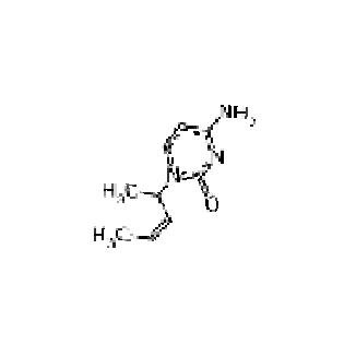 C/C=C\C(C)n1ccc(N)nc1=O